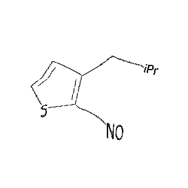 CC(C)Cc1ccsc1N=O